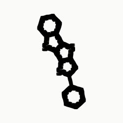 c1ccc(-c2cc3sc4c5ccccc5sc4c3s2)cc1